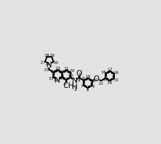 Cc1c(NC(=O)c2cccc(OCc3ccccc3)c2)ccc2cc(CN3CCCC3)cnc12